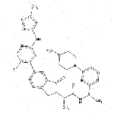 Cc1cc(Nc2ncc(Cl)c(-c3ccc4c(c3)C(=O)N(C(C)C(=O)NC(C)c3cccc(N5CCN(C)CC5)n3)C4)n2)on1